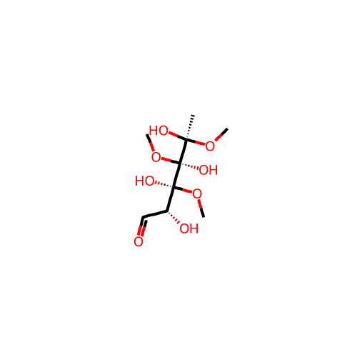 CO[C@@](O)([C@@](C)(O)OC)[C@@](O)(OC)[C@H](O)C=O